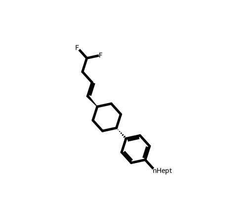 CCCCCCCc1ccc([C@H]2CC[C@H](C=CCC(F)F)CC2)cc1